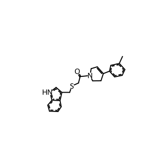 Cc1cccc(C2=CCN(C(=O)CSCc3c[nH]c4ccccc34)CC2)c1